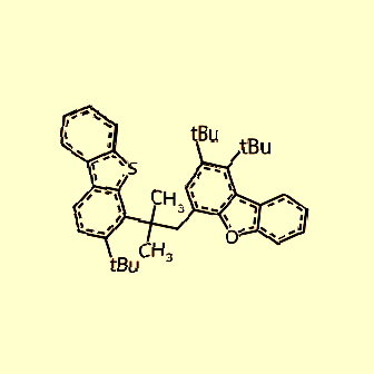 CC(C)(C)c1ccc2c(sc3ccccc32)c1C(C)(C)Cc1cc(C(C)(C)C)c(C(C)(C)C)c2c1oc1ccccc12